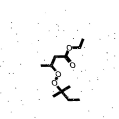 CCOC(=O)CC(C)OOC(C)(C)CC